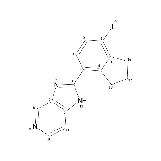 Ic1ccc(-c2nc3cnccc3[nH]2)c2c1CCC2